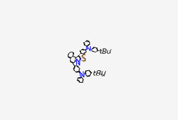 CC(C)(C)c1ccc(N(c2ccccc2)c2ccc3c(c2)sc2c3c3c4ccccc4cc4c5ccc(N(c6ccccc6)c6ccc(C(C)(C)C)cc6)cc5n2c43)cc1